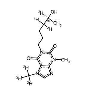 [2H]C([2H])([2H])n1cnc2c1c(=O)n(CCCC([2H])([2H])[C@]([2H])(C)O)c(=O)n2C